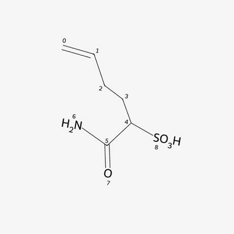 C=CCCC(C(N)=O)S(=O)(=O)O